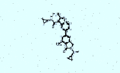 C[C@@H](C1CC1)N1Cc2cc(-c3ccn4nc(N)c(C(=O)NC5CC5)c4n3)cc(Cl)c2C1=O